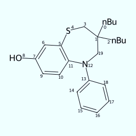 CCCCC1(CCCC)CSc2cc(O)ccc2N(c2ccccc2)C1